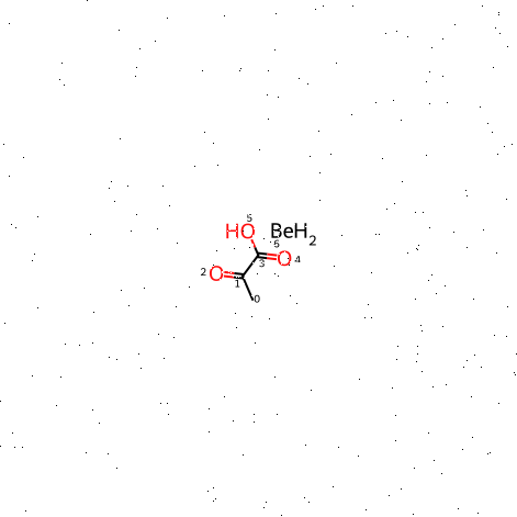 CC(=O)C(=O)O.[BeH2]